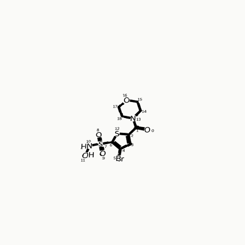 O=C(c1cc(Br)c(S(=O)(=O)NO)s1)N1CCOCC1